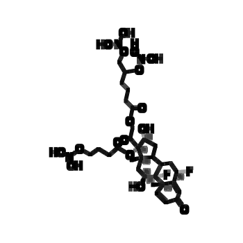 C[C@]12C=CC(=O)C=C1[C@@H](F)CC1C3C[C@@H](O)[C@](OC(=O)CCCON(O)O)(C(=O)COC(=O)CCCC(CON(O)O)ON(O)O)[C@@]3(C)C[C@H](O)[C@@]12F